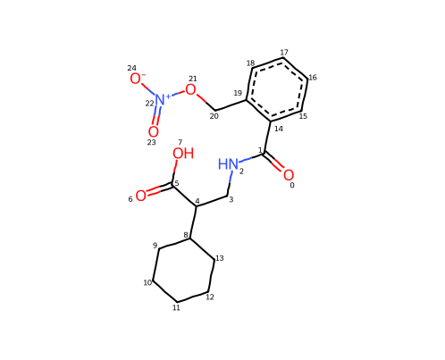 O=C(NCC(C(=O)O)C1CCCCC1)c1ccccc1CO[N+](=O)[O-]